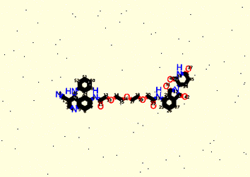 N#Cc1cnc2ccc(NC(=O)COCCOCCOCC(=O)Nc3cccc4c3C(=O)N(C3CCC(=O)NC3=O)C4=O)cc2c1Nc1ccccc1